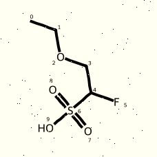 CCOCC(F)S(=O)(=O)O